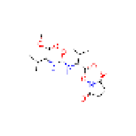 COC(=O)[C@@H](NC(=O)N[C@H](C(=O)ON1C(=O)CCC1=O)C(C)C)C(C)C